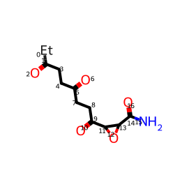 CCC(=O)CCC(=O)CCC(=O)C1OC1C(N)=O